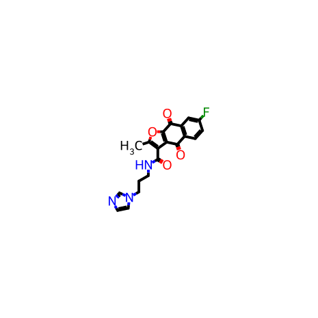 Cc1oc2c(c1C(=O)NCCCn1ccnc1)C(=O)c1ccc(F)cc1C2=O